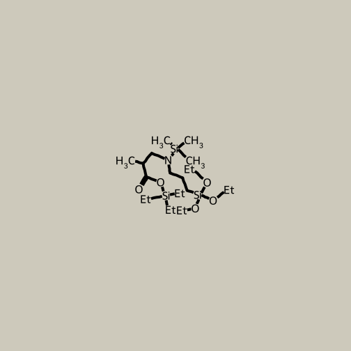 CCO[Si](CCCN(CC(C)C(=O)O[Si](CC)(CC)CC)[Si](C)(C)C)(OCC)OCC